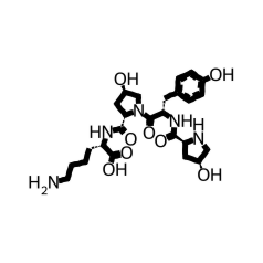 NCCCC[C@H](NC(=O)[C@@H]1C[C@@H](O)CN1C(=O)[C@H](Cc1ccc(O)cc1)NC(=O)[C@@H]1C[C@@H](O)CN1)C(=O)O